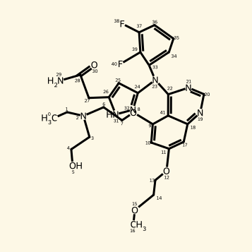 CCN(CCO)CCOc1cc(OCCOC)cc2ncnc(N(c3cc(CC(N)=O)[nH]n3)c3cccc(F)c3F)c12